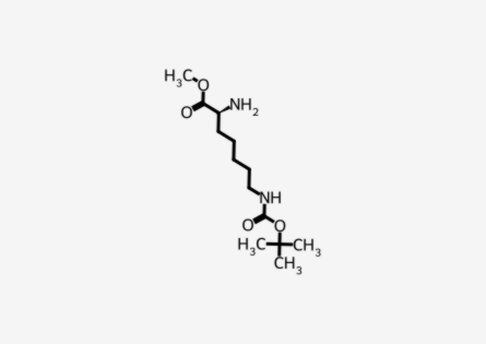 COC(=O)[C@@H](N)CCCCCNC(=O)OC(C)(C)C